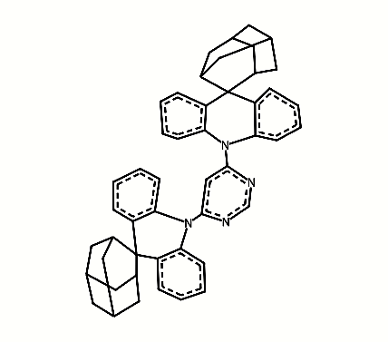 c1ccc2c(c1)N(c1cc(N3c4ccccc4C4(c5ccccc53)C3CC5CC(C3)CC4C5)ncn1)c1ccccc1C21C2CC3CC(C2)CC1C3